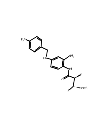 CCCCC[C@H](F)[C@H](F)C(=O)Nc1ccc(NCc2ccc(C(F)(F)F)cc2)cc1N